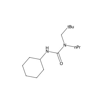 CCCN(CC(C)(C)C)C(=O)NC1CCCCC1